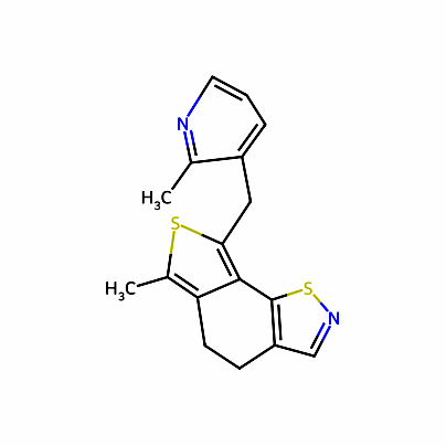 Cc1ncccc1Cc1sc(C)c2c1-c1sncc1CC2